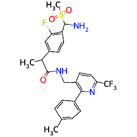 Cc1ccc(-c2nc(C(F)(F)F)ccc2CNC(=O)C(C)c2ccc(C(N)S(C)(=O)=O)c(F)c2)cc1